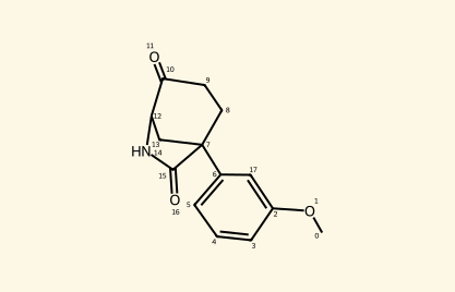 COc1cccc(C23CCC(=O)C(C2)NC3=O)c1